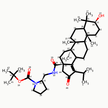 CC(C)C1=C2C3CCC4[C@@]5(C)CC[C@H](O)C(C)(C)C5CC[C@@]4(C)[C@]3(C)CC[C@@]2(C(=O)NC[C@H]2CCCN2C(=O)OC(C)(C)C)CC1=O